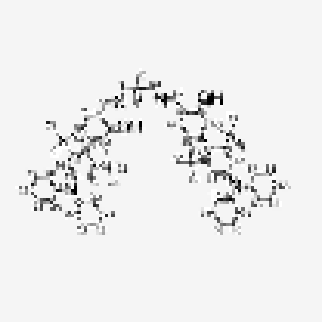 CC(C)(C/N=C/c1ccc(-c2c(C(C)(C)C)cc(N(c3ccccc3)c3ccccc3)cc2C(C)(C)C)cc1O)C/N=C/c1ccc(-c2c(C(C)(C)C)cc(N(c3ccccc3)c3ccccc3)cc2C(C)(C)C)cc1O